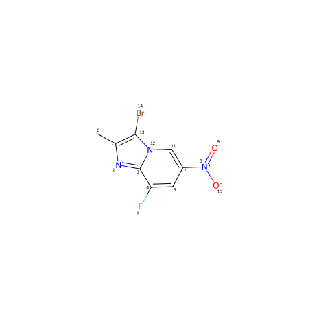 Cc1nc2c(F)cc([N+](=O)[O-])cn2c1Br